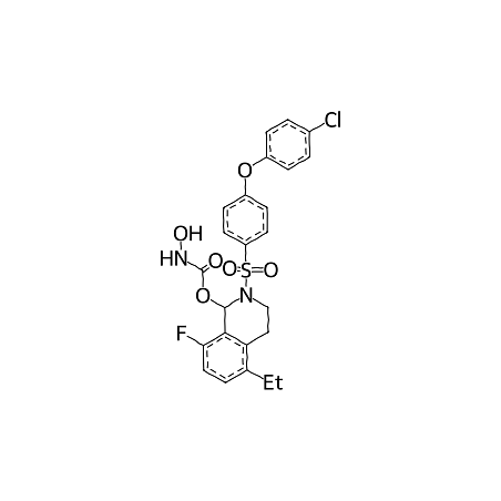 CCc1ccc(F)c2c1CCN(S(=O)(=O)c1ccc(Oc3ccc(Cl)cc3)cc1)C2OC(=O)NO